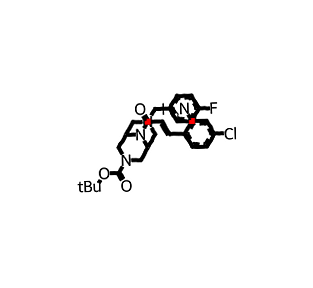 CC(C)(C)OC(=O)N1CC2CN(Cc3ccc(F)cc3)CC(C1)N2C(=O)/C=C/c1ccc(Cl)cc1N